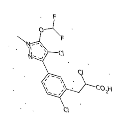 Cn1nc(-c2ccc(Cl)c(CC(Cl)C(=O)O)c2)c(Cl)c1OC(F)F